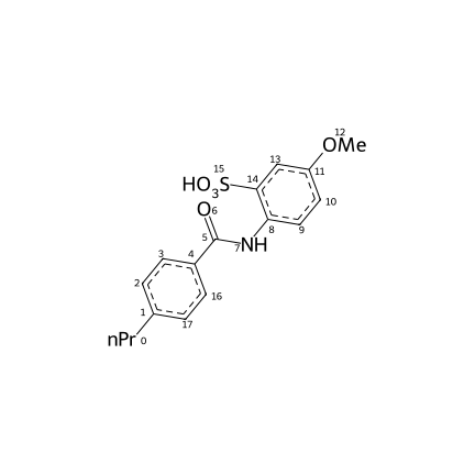 CCCc1ccc(C(=O)Nc2ccc(OC)cc2S(=O)(=O)O)cc1